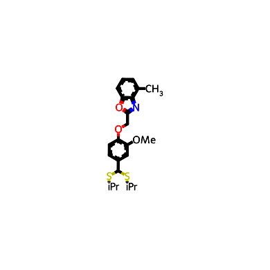 COc1cc(C(SC(C)C)SC(C)C)ccc1OCc1nc2c(C)cccc2o1